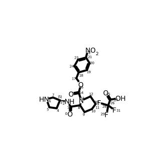 O=C(N[C@H]1CCNC1)C1CCCCN1C(=O)OCc1ccc([N+](=O)[O-])cc1.O=C(O)C(F)(F)F